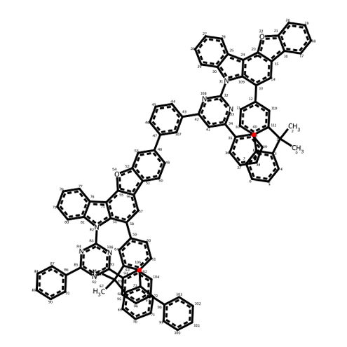 CC1(C)c2ccccc2-c2ccc(-c3cc4c5ccccc5oc4c4c5ccccc5n(-c5nc(-c6ccccc6)cc(-c6cccc(-c7ccc8c(c7)oc7c8cc(-c8ccc9c(c8)C(C)(C)c8ccccc8-9)c8c7c7ccccc7n8-c7nc(-c8ccccc8)nc(-c8ccc(-c9ccccc9)cc8)n7)c6)n5)c34)cc21